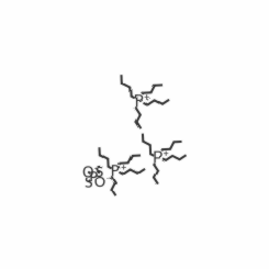 CCCC[P+](CCCC)(CCCC)CCCC.CCCC[P+](CCCC)(CCCC)CCCC.CCCC[P+](CCCC)(CCCC)CCCC.[O-]P([O-])(=S)[S-]